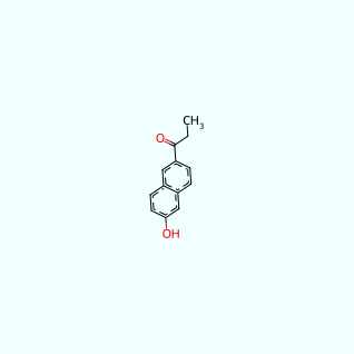 CCC(=O)c1ccc2cc(O)ccc2c1